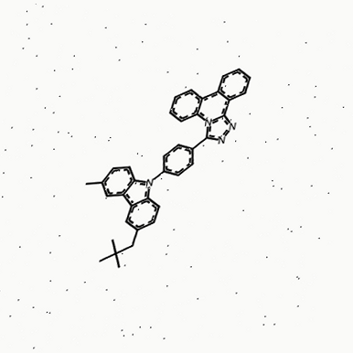 Cc1ccc2c(c1)c1cc(CC(C)(C)C)ccc1n2-c1ccc(-c2nnc3c4ccccc4c4ccccc4n23)cc1